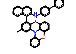 Cc1cc(-c2c(Nc3ccc(-c4ccccc4)cc3)ccc3ccccc23)c2c(c1)N1c3ccccc3Oc3cccc(c31)S2